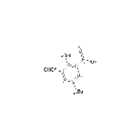 CC(C)(C)c1cc(C=O)c(O)c(C([O])=O)c1